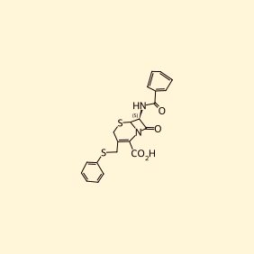 O=C(O)C1=C(CSc2ccccc2)CSC2[C@@H](NC(=O)c3ccccc3)C(=O)N12